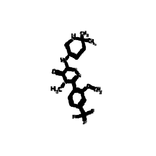 COc1cc(C(F)(F)F)ccc1-c1nnc(N[C@@H]2CCC(C)(C)NC2)c(=O)n1C